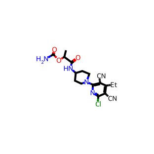 CCc1c(C#N)c(Cl)nc(N2CCC(NC(=O)C(C)OC(N)=O)CC2)c1C#N